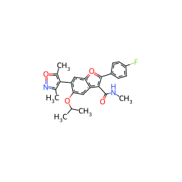 CNC(=O)c1c(-c2ccc(F)cc2)oc2cc(-c3c(C)noc3C)c(OC(C)C)cc12